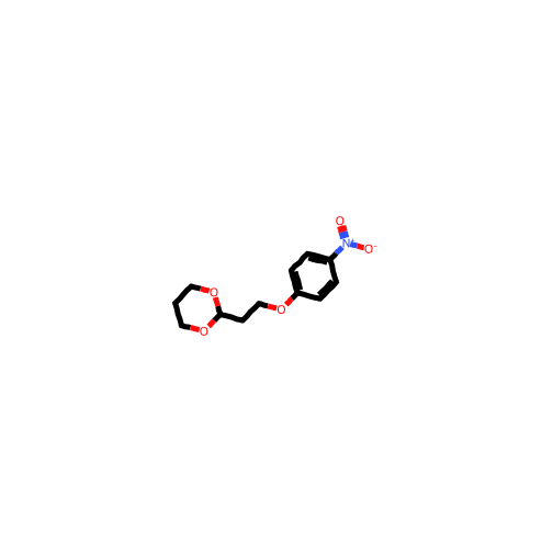 O=[N+]([O-])c1ccc(OCCC2OCCCO2)cc1